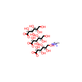 O=C([O-])[C@H](O)[C@@H](O)[C@H](O)[C@H](O)CO.O=C([O-])[C@H](O)[C@@H](O)[C@H](O)[C@H](O)CO.O=C([O-])[C@H](O)[C@@H](O)[C@H](O)[C@H](O)CO.[Fe+2].[NH4+]